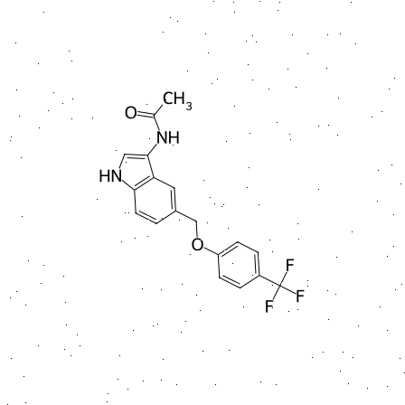 CC(=O)Nc1c[nH]c2ccc(COc3ccc(C(F)(F)F)cc3)cc12